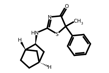 CC1(c2ccccc2)SC(N[C@H]2C[C@H]3CC[C@H]2C3)=NC1=O